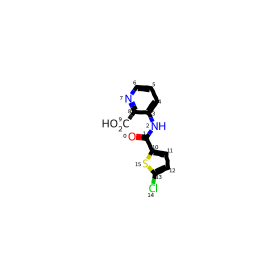 O=C(Nc1cccnc1C(=O)O)c1ccc(Cl)s1